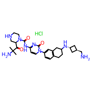 CC(C)(N)C(=O)C1CNCCN1C(=O)Nc1ccn(-c2ccc3c(c2)CC(N[C@H]2C[C@H](CN)C2)CC3)c(=O)n1.Cl